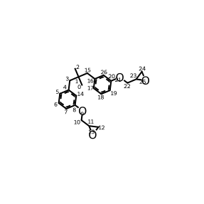 CC(C)(Cc1cccc(OCC2CO2)c1)Cc1cccc(OCC2CO2)c1